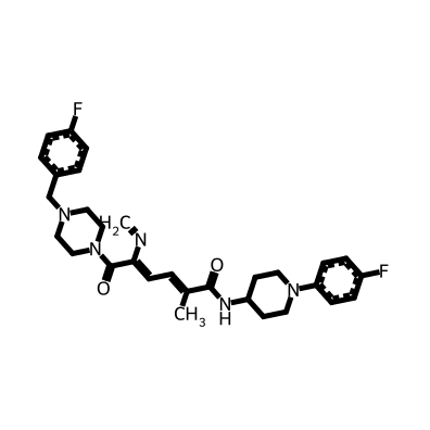 C=N/C(=C\C=C(/C)C(=O)NC1CCN(c2ccc(F)cc2)CC1)C(=O)N1CCN(Cc2ccc(F)cc2)CC1